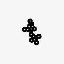 c1cc(-c2ccc(N(c3ccc4ccccc4c3)c3ccccc3-c3cccc4c3oc3ccccc34)cc2)cc(-c2ccccc2-n2c3ccccc3c3ccccc32)c1